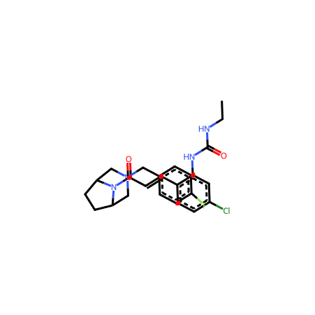 CCNC(=O)Nc1cc(Cl)ccc1C=CC(=O)N1C2CCC1CN(Cc1ccc(F)cc1)C2